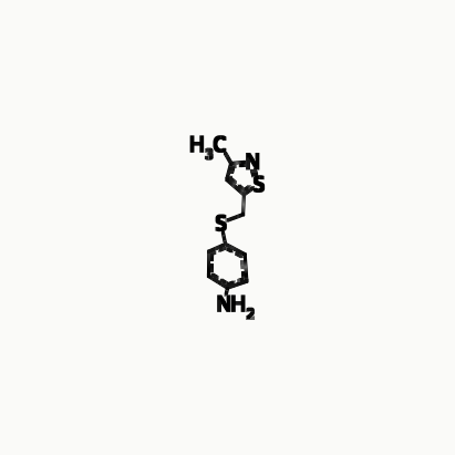 Cc1cc(CSc2ccc(N)cc2)sn1